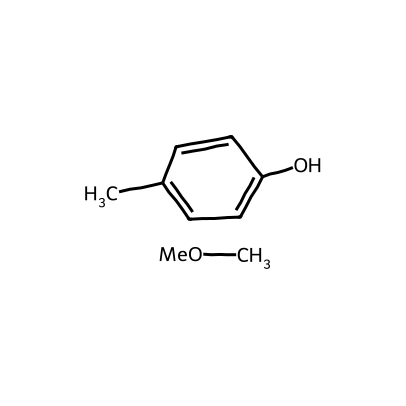 COC.Cc1ccc(O)cc1